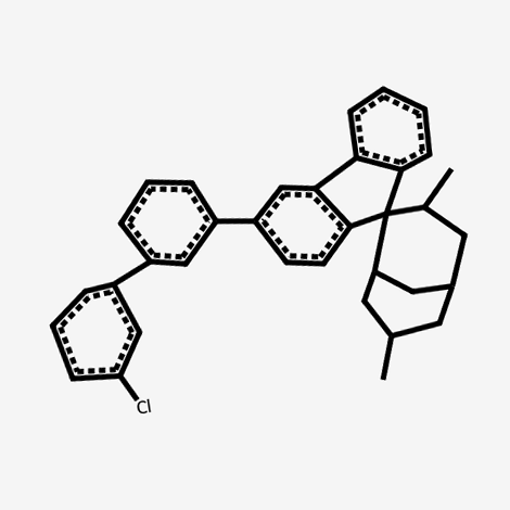 CC1CC2CC(C)C3(c4ccccc4-c4cc(-c5cccc(-c6cccc(Cl)c6)c5)ccc43)C(C1)C2